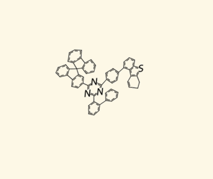 C1=Cc2c(sc3cccc(-c4ccc(-c5nc(-c6ccc7c(c6)C6(c8ccccc8-c8ccccc86)c6ccccc6-7)nc(-c6ccccc6-c6ccccc6)n5)cc4)c23)CC1